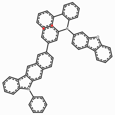 c1ccc(-c2ccccc2N(c2cccc(-c3ccc4cc5c(cc4c3)c3ccccc3n5-c3ccccc3)c2)c2ccc3c(c2)oc2ccccc23)cc1